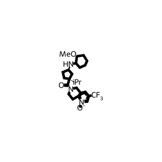 COC1CCCCC1N[C@@H]1CC[C@@](C(=O)N2CCc3c(cc(C(F)(F)F)c[n+]3[O-])C2)(C(C)C)C1